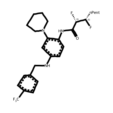 CCCCC[C@H](F)[C@@H](F)C(=O)Nc1ccc(NCc2ccc(C(F)(F)F)cc2)cc1N1CCCCC1